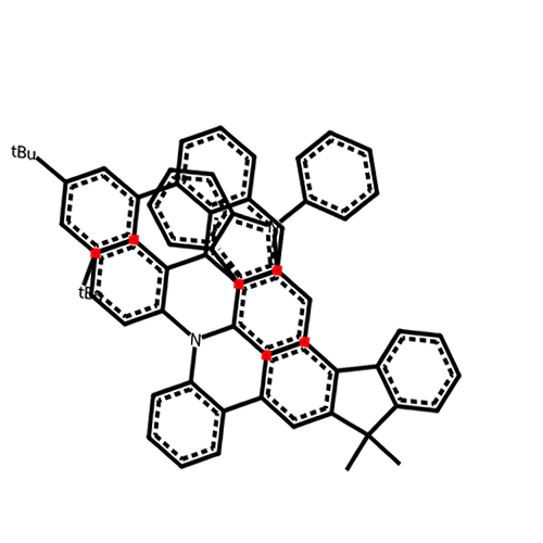 CC(C)(C)c1cc(-c2cccc3cccc(-c4ccccc4N(c4ccccc4-c4ccc5c(c4)C(C)(C)c4ccccc4-5)c4cccc5c4c4ccccc4n5-c4ccccc4)c23)cc(C(C)(C)C)c1